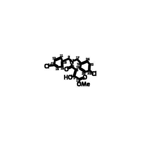 COC(=O)/C(O)=C/C(=O)N(Cc1ccc(Cl)cc1)Cc1ccc(Cl)cc1